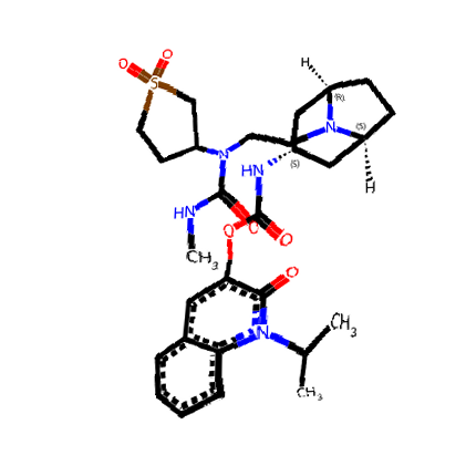 CNC(=O)N(CCN1[C@@H]2CC[C@H]1C[C@H](NC(=O)Oc1cc3ccccc3n(C(C)C)c1=O)C2)C1CCS(=O)(=O)C1